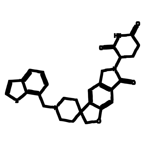 O=C1CCC(N2Cc3cc4c(cc3C2=O)OCC42CCN(Cc3cccc4ccsc34)CC2)C(=O)N1